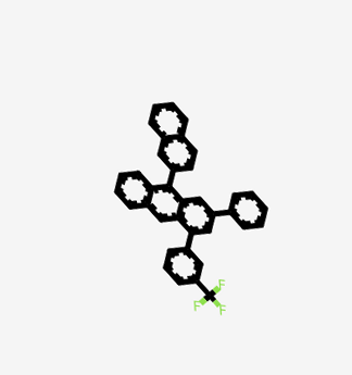 FC(F)(F)c1cccc(-c2cc(-c3ccccc3)cc3c(-c4ccc5ccccc5c4)c4ccccc4cc23)c1